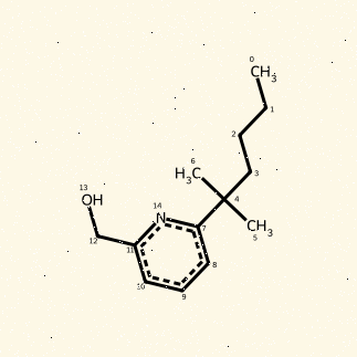 CCCCC(C)(C)c1cccc(CO)n1